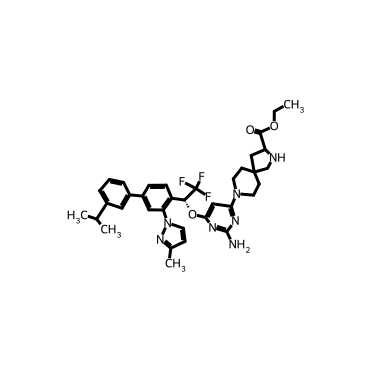 CCOC(=O)C1CC2(CCN(c3cc(O[C@H](c4ccc(-c5cccc(C(C)C)c5)cc4-n4ccc(C)n4)C(F)(F)F)nc(N)n3)CC2)CN1